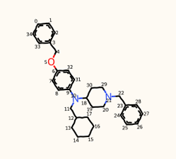 c1ccc(COc2ccc(N(CC3CCCCC3)C3CCN(Cc4ccccc4)CC3)cc2)cc1